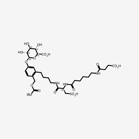 CC(C)(C)C(=O)OCc1ccc(O[C@@H]2O[C@H](C(=O)O)[C@@H](O)[C@H](O)[C@H]2O)cc1CCCCNC(=O)[C@H](CS(=O)(=O)O)NC(=O)CCCCCNC(=O)CCC(=O)O